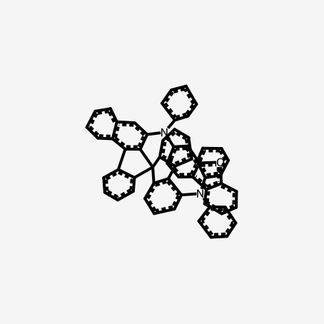 c1ccc(N(c2ccccc2)c2cccc3c2-c2ccccc2C32c3ccccc3-c3c2c(N(c2ccccc2)c2ccc4c(c2)oc2ccccc24)cc2ccccc32)cc1